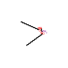 CCCCCCCCCCCCCCCCCC(=O)OC(P)C(CO)OC(=O)CCCCCCCCCCCCCCCCC